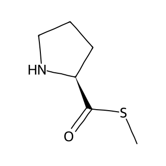 CSC(=O)[C@@H]1CCCN1